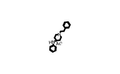 CC(=O)[C@]1(Nc2ccccc2)CCN(CCc2ccccc2)C[C@@H]1C